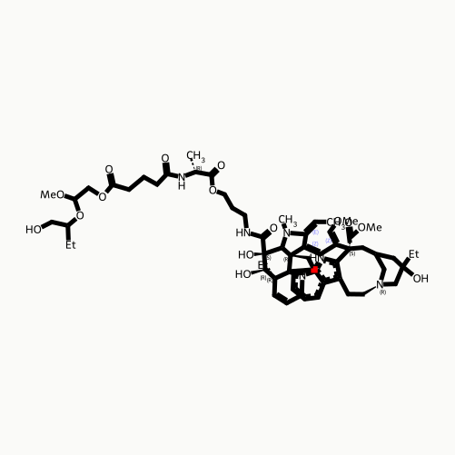 C\C=C1/C(=C\C(=C\OC)[C@@]2(C(=O)OC)CC3C[N@](CCc4c2[nH]c2ccccc42)CC(O)(CC)C3)[C@]23CCN4CC=C[C@](CC)(C42)[C@@H](O)[C@](O)(C(=O)NCCCOC(=O)[C@@H](C)NC(=O)CCCC(=O)OCC(OC)OC(CC)CO)C3N1C